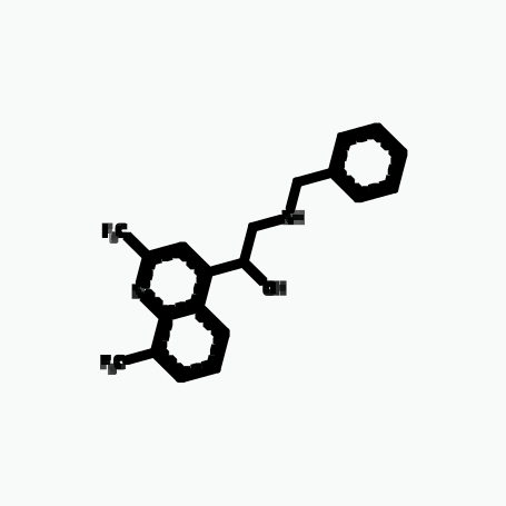 OC(CNCc1ccccc1)c1cc(C(F)(F)F)nc2c(C(F)(F)F)cccc12